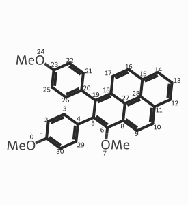 COc1ccc(-c2c(OC)c3ccc4cccc5ccc(c2-c2ccc(OC)cc2)c3c45)cc1